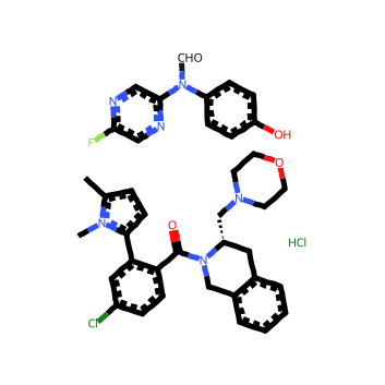 Cc1ccc(-c2cc(Cl)ccc2C(=O)N2Cc3ccccc3C[C@H]2CN2CCOCC2)n1C.Cl.O=CN(c1ccc(O)cc1)c1cnc(F)cn1